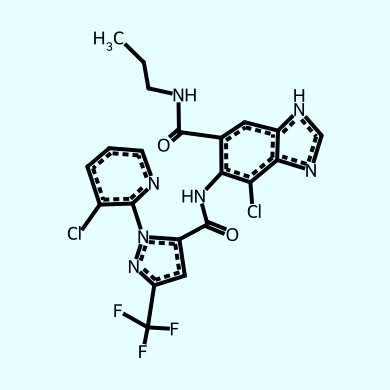 CCCNC(=O)c1cc2[nH]cnc2c(Cl)c1NC(=O)c1cc(C(F)(F)F)nn1-c1ncccc1Cl